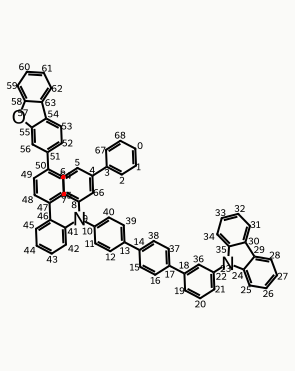 c1ccc(-c2cccc(N(c3ccc(-c4ccc(-c5cccc(-n6c7ccccc7c7ccccc76)c5)cc4)cc3)c3ccccc3-c3ccc(-c4ccc5c(c4)oc4ccccc45)cc3)c2)cc1